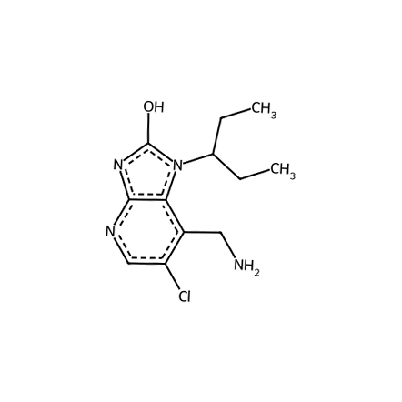 CCC(CC)n1c(O)nc2ncc(Cl)c(CN)c21